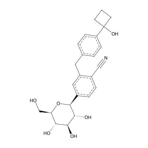 N#Cc1ccc([C@@H]2O[C@H](CO)[C@@H](O)[C@H](O)[C@H]2O)cc1Cc1ccc(C2(O)CCC2)cc1